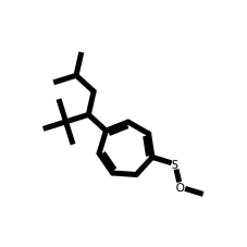 COSC1=CC=C(C(CC(C)C)C(C)(C)C)C=CC1